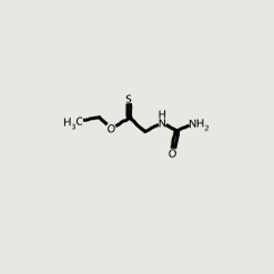 CCOC(=S)CNC(N)=O